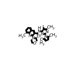 CCC(Nc1nc(-n2c(C)ccc2C)nc(C)c1I)c1cc2cccc(C)c2nc1N1CCOCC1